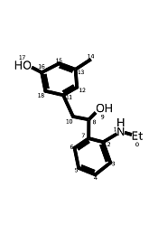 CCNc1ccccc1C(O)Cc1cc(C)cc(O)c1